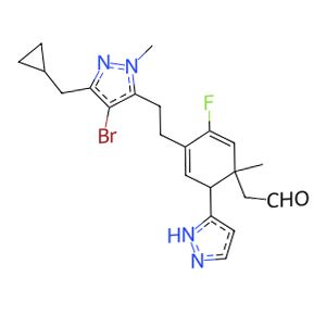 Cn1nc(CC2CC2)c(Br)c1CCC1=CC(c2ccn[nH]2)C(C)(CC=O)C=C1F